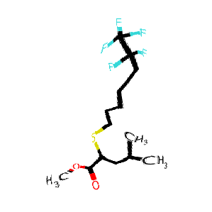 COC(=O)C(CC(C)C)SCCCCCC(F)(F)C(F)(F)F